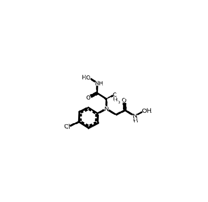 C[C@H](C(=O)NO)N(CC(=O)NO)c1ccc(Cl)cc1